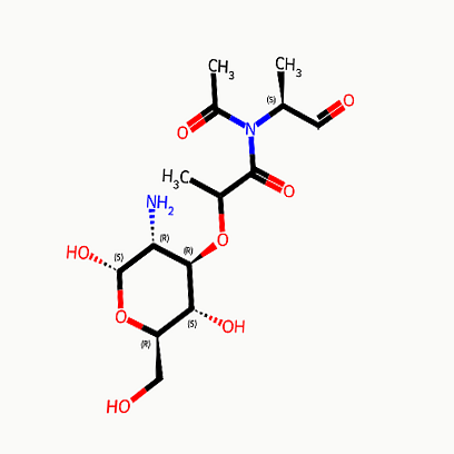 CC(=O)N(C(=O)C(C)O[C@@H]1[C@@H](N)[C@@H](O)O[C@H](CO)[C@H]1O)[C@@H](C)[C]=O